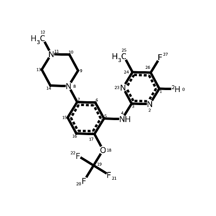 [2H]c1nc(Nc2cc(N3CCN(C)CC3)ccc2OC(F)(F)F)nc(C)c1F